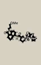 COCCCN1C(=O)c2cccc3c(NC(=O)C4CCCN(S(=O)(=O)c5c(Cl)nc6sccn56)C4)ccc1c23